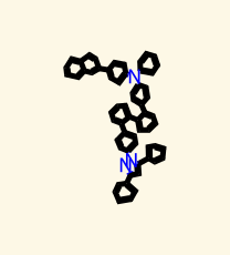 c1ccc(-c2cc(-c3ccccc3)n(-c3ccc(-c4ccccc4-c4ccccc4-c4ccc(N(c5ccccc5)c5ccc(-c6ccc7ccccc7c6)cc5)cc4)cc3)n2)cc1